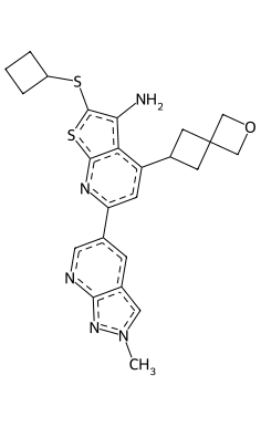 Cn1cc2cc(-c3cc(C4CC5(COC5)C4)c4c(N)c(SC5CCC5)sc4n3)cnc2n1